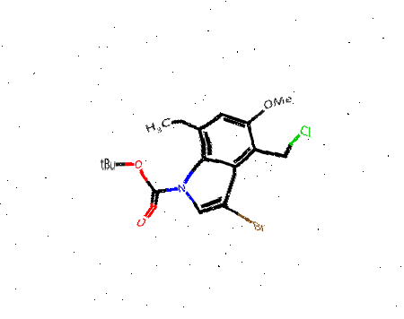 COc1cc(C)c2c(c(Br)cn2C(=O)OC(C)(C)C)c1CCl